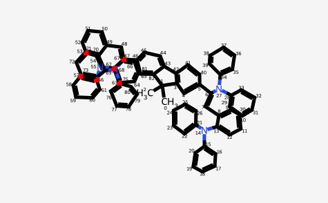 CC1(C)c2cc(C(=Cc3ccccc3N(c3ccccc3)c3ccccc3)N(c3ccccc3)c3ccccc3)ccc2-c2ccc(C(=Cc3ccccc3N(c3ccccc3)c3ccccc3)N(c3ccccc3)c3ccccc3)cc21